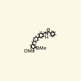 COc1ccc(CN2CCC(c3ccc(CNC(=O)c4ccccc4)cc3)CC2)cc1OC